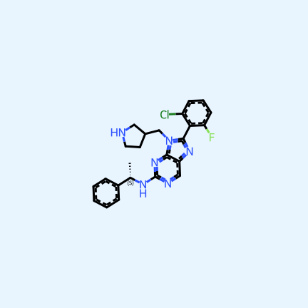 C[C@H](Nc1ncc2nc(-c3c(F)cccc3Cl)n(CC3CCNC3)c2n1)c1ccccc1